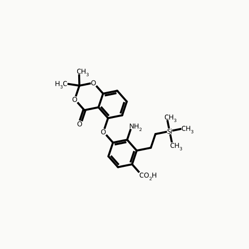 CC1(C)OC(=O)c2c(Oc3ccc(C(=O)O)c(CC[Si](C)(C)C)c3N)cccc2O1